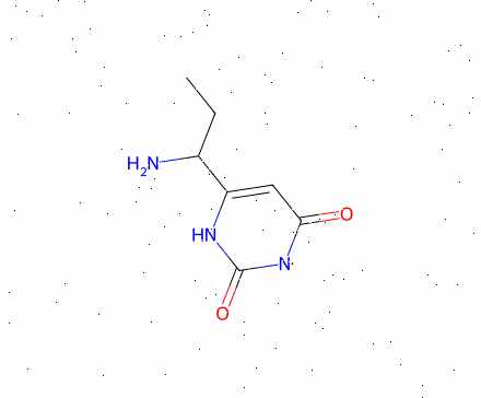 CCC(N)C1=CC(=O)[N]C(=O)N1